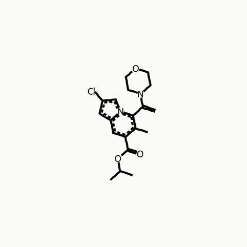 C=C(c1c(C)c(C(=O)OC(C)C)cc2cc(Cl)cn12)N1CCOCC1